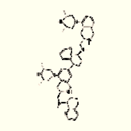 C[C@@H]1CN(c2cc(C3CC[C@H](N(C)C[C@@H]4Cc5c(cccc5N5C[C@@H](C)N[C@@H](C)C5)CN4)c4ncccc43)cc3c2C[C@H](CN(C)[C@H]2CCCc4cccnc42)NC3)C[C@H](C)N1